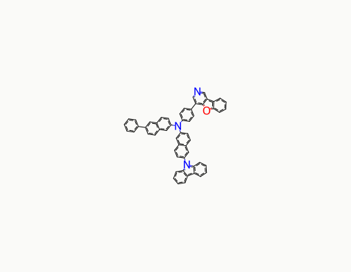 c1ccc(-c2ccc3cc(N(c4ccc(-c5cncc6c5oc5ccccc56)cc4)c4ccc5cc(-n6c7ccccc7c7ccccc76)ccc5c4)ccc3c2)cc1